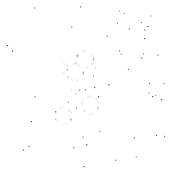 O=c1nc(N(Cc2ccccc2)c2ccc(C(F)(F)F)cc2)sc2ncccc12